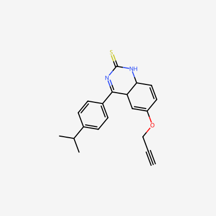 C#CCOC1=CC2C(c3ccc(C(C)C)cc3)=NC(=S)NC2C=C1